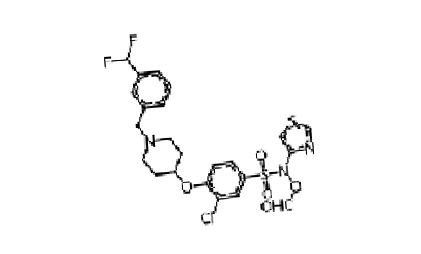 O=CON(c1cscn1)S(=O)(=O)c1ccc(OC2CCN(Cc3cccc(C(F)F)c3)CC2)c(Cl)c1